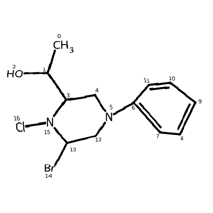 CC(O)C1CN(c2ccccc2)CC(Br)N1Cl